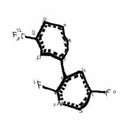 Fc1cnc(F)c(-c2cc[c]c(C(F)(F)F)c2)c1